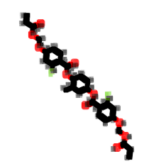 C=CC(=O)OCOc1ccc(C(=O)Oc2ccc(OC(=O)c3ccc(OCOC(=O)C=C)cc3F)c(C)c2)c(F)c1